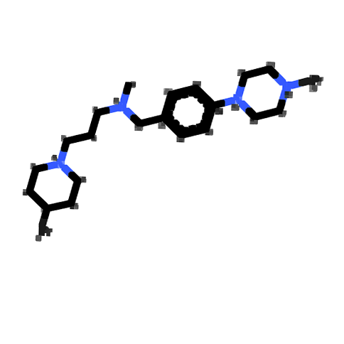 CC(C)C1CCN(CCCN(C)Cc2ccc(N3CCN(C(C)C)CC3)cc2)CC1